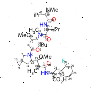 CC[C@H](C)C(C(CC(=O)N1CC2(CC2)C[C@H]1C(OC)[C@@H](C)C(=O)N[C@@H](Cc1ccccc1F)C(=O)O)OC)N(C)C(=O)[C@@H](NC(=O)C(NC)C(C)C)C(C)C